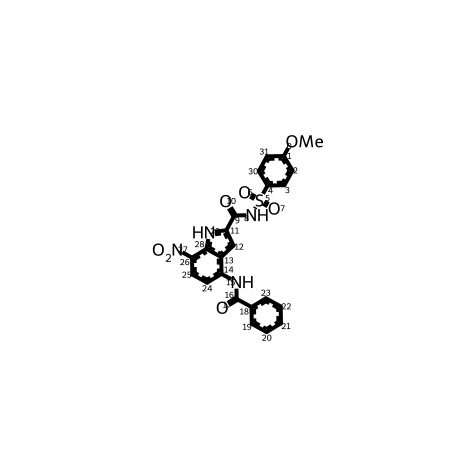 COc1ccc(S(=O)(=O)NC(=O)c2cc3c(NC(=O)c4ccccc4)ccc([N+](=O)[O-])c3[nH]2)cc1